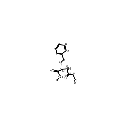 COC(=O)[C@H](CCc1ccccc1)NC(=O)CCl